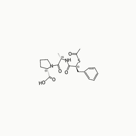 CC(=O)S[C@@H](Cc1ccccc1)C(=O)N[C@@H](C)C(=O)N1CCC[C@H]1C(=O)O